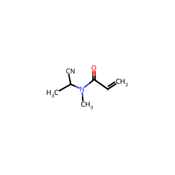 C=[C]C(=O)N(C)C(C)C#N